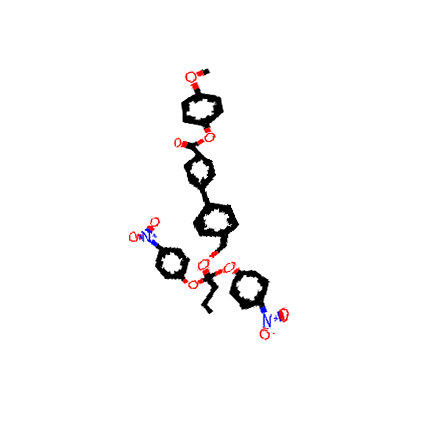 CCCC(OCc1ccc(-c2ccc(C(=O)Oc3ccc(OC)cc3)cc2)cc1)(Oc1ccc([N+](=O)[O-])cc1)Oc1ccc([N+](=O)[O-])cc1